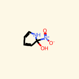 O=[N+]([O-])C1(O)C=CC=CN1